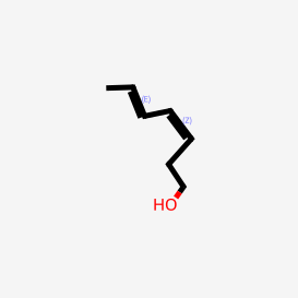 C/C=C/C=C\CCO